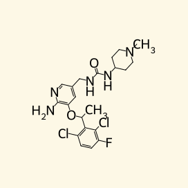 CC(Oc1cc(CNC(=O)NC2CCN(C)CC2)cnc1N)c1c(Cl)ccc(F)c1Cl